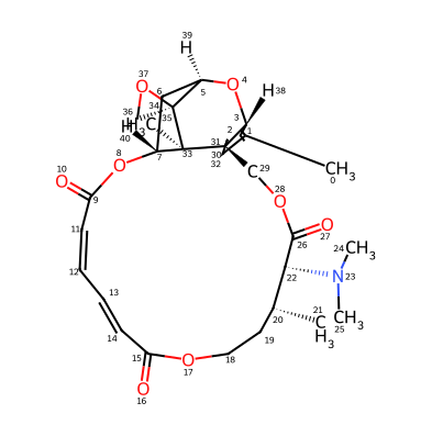 CC1=C[C@H]2O[C@@H]3C[C@H]4OC(=O)/C=C\C=C\C(=O)OCC[C@@H](C)[C@@H](N(C)C)C(=O)OC[C@@]2(CC1)[C@]4(C)[C@]31CO1